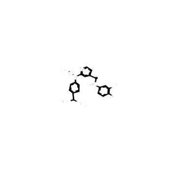 CC(C)c1ccc(N(c2cc(C(=O)Nc3ccc(F)c(Cl)c3)ccn2)S(C)(=O)=O)cc1